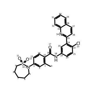 Cc1cc(N2CCCCCS2(=O)=O)ccc1C(=O)Nc1ccc(Cl)c(-c2ccc3ccccc3n2)c1